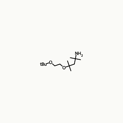 CC(C)(N)CC(C)(C)OCCOC(C)(C)C